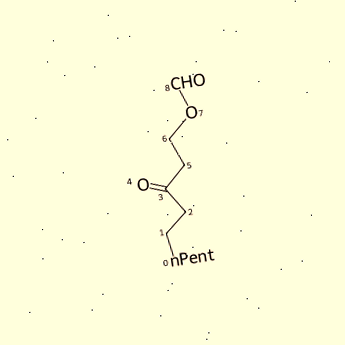 CCCCCCCC(=O)CCOC=O